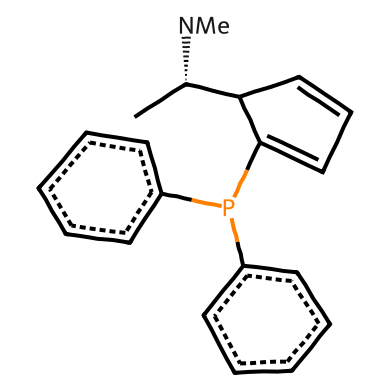 CN[C@@H](C)C1C=CC=C1P(c1ccccc1)c1ccccc1